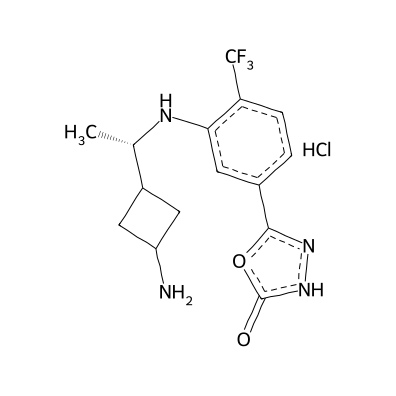 C[C@H](Nc1cc(-c2n[nH]c(=O)o2)ccc1C(F)(F)F)C1CC(N)C1.Cl